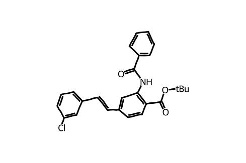 CC(C)(C)OC(=O)c1ccc(C=Cc2cccc(Cl)c2)cc1NC(=O)c1ccccc1